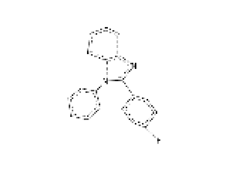 Fc1ccc(-c2nc3ccccc3n2-c2ccccc2)cc1